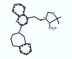 CC1(C)OC[C@H](CCc2cc(N3CCCc4ccccc4C3)nc3ccccc23)N1C(=O)O